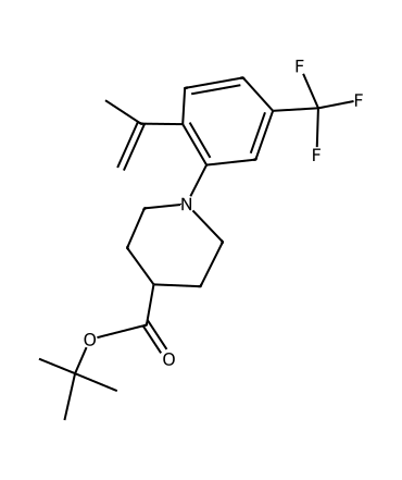 C=C(C)c1ccc(C(F)(F)F)cc1N1CCC(C(=O)OC(C)(C)C)CC1